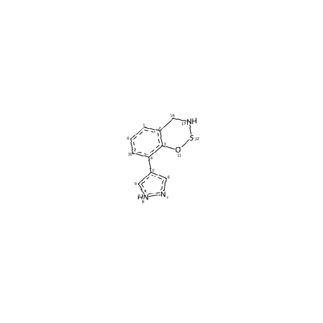 c1cc2c(c(-c3cn[nH]c3)c1)OSNC2